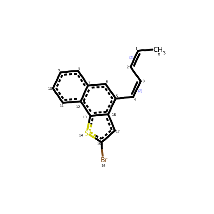 C/C=C\C=C/c1cc2ccccc2c2sc(Br)cc12